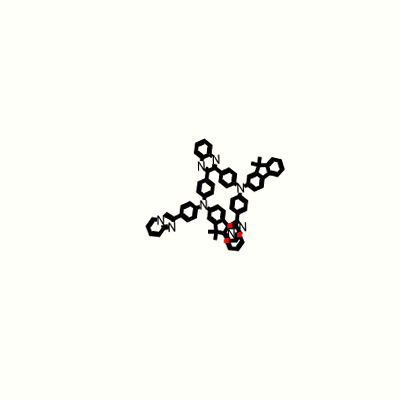 CC1(C)c2ccccc2-c2ccc(N(c3ccc(-c4cn5ccccc5n4)cc3)c3ccc(-c4nc5ccccc5nc4-c4ccc(N(c5ccc(-c6cn7ccccc7n6)cc5)c5ccc6c(c5)C(C)(C)c5ccccc5-6)cc4)cc3)cc21